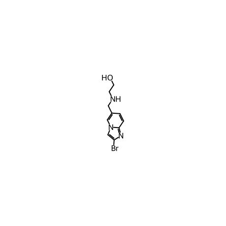 OCCNCc1ccc2nc(Br)cn2c1